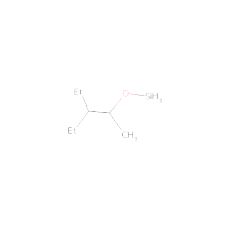 CCC(CC)C(C)O[SiH3]